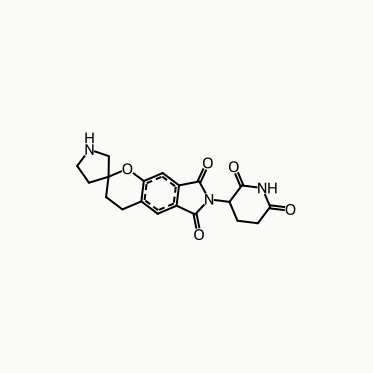 O=C1CCC(N2C(=O)c3cc4c(cc3C2=O)OC2(CCNC2)CC4)C(=O)N1